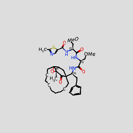 COC[C@H](NC(=O)c1cnc(C)s1)C(=O)N[C@@H](COC)C(=O)N[C@@H](Cc1ccccc1)C12CCCCCCCCCC3(CC1)O[C@@]3(C)C2=O